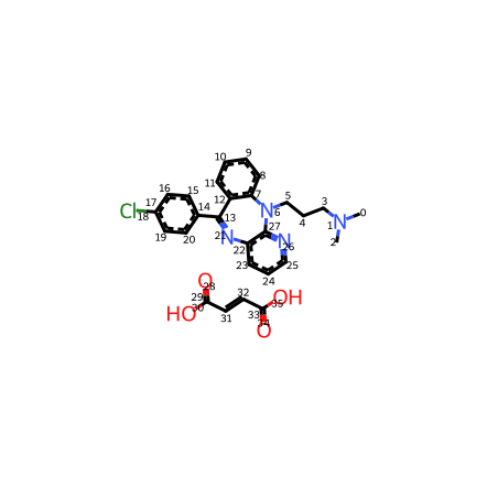 CN(C)CCCN1c2ccccc2C(c2ccc(Cl)cc2)=Nc2cccnc21.O=C(O)C=CC(=O)O